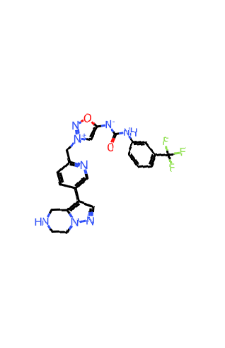 O=C([N-]c1c[n+](Cc2ccc(-c3cnn4c3CNCC4)cn2)no1)Nc1cccc(C(F)(F)F)c1